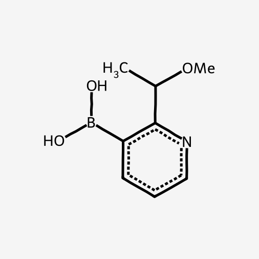 COC(C)c1ncccc1B(O)O